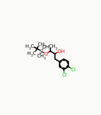 CC(O[Si](C)(C)C(C)(C)C)C(O)Cc1ccc(Cl)c(Cl)c1